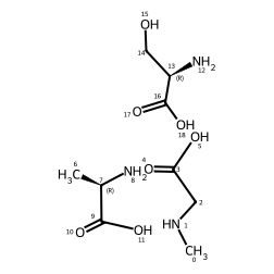 CNCC(=O)O.C[C@@H](N)C(=O)O.N[C@H](CO)C(=O)O